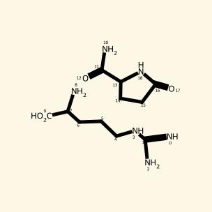 N=C(N)NCCCC(N)C(=O)O.NC(=O)C1CCC(=O)N1